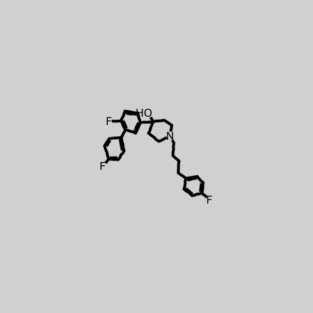 OC1(c2ccc(F)c(-c3ccc(F)cc3)c2)CCN(CCCCc2ccc(F)cc2)CC1